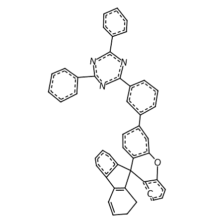 C1=CC2=C(CC1)C1(c3ccccc3Oc3cc(-c4cccc(-c5nc(-c6ccccc6)nc(-c6ccccc6)n5)c4)ccc31)c1ccccc12